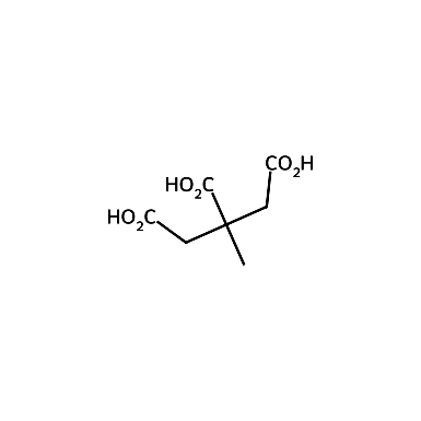 CC(CC(=O)O)(CC(=O)O)C(=O)O